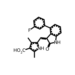 Cc1[nH]c(C=C2C(=O)Nc3cccc(-c4cccc(F)c4)c32)c(C)c1C(=O)O